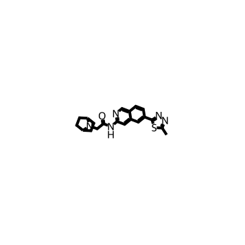 Cc1nnc(-c2ccc3cnc(NC(=O)CN4C5CCC4CC5)cc3c2)s1